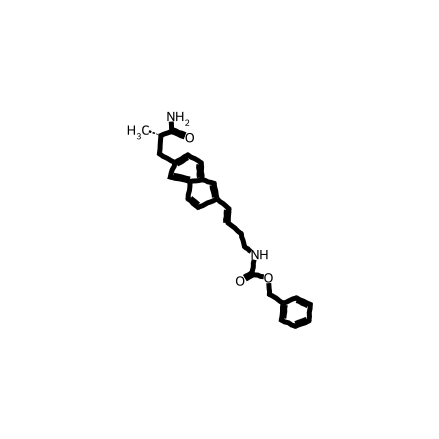 C[C@@H](Cc1ccc2cc(/C=C/CCNC(=O)OCc3ccccc3)ccc2c1)C(N)=O